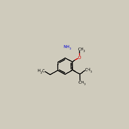 CCc1ccc(OC)c(C(C)C)c1.N